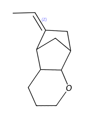 C/C=C1/CC2CC1C1CCCOC21